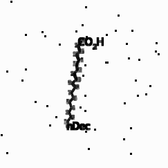 CCCCCCCCCCCCCCCCCC=CC=CC=CC=CC=CC(=O)O